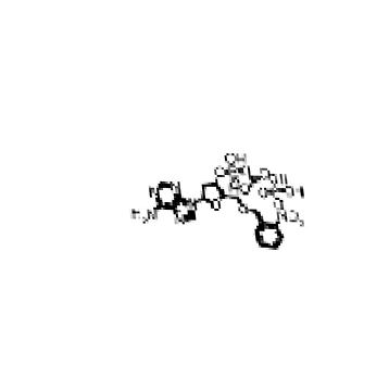 Nc1ncnc2c1ncn2[C@H]1C[C@H](OP(=O)(O)OP(=O)(O)OP(=O)(O)O)[C@@H](COCc2ccccc2[N+](=O)[O-])O1